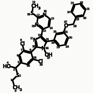 CCSC(O)c1cc(Cl)c(-c2nc(-c3ccnc(SC)n3)c(-c3cccc(OCc4ccccc4)c3)n2O)c(Cl)c1